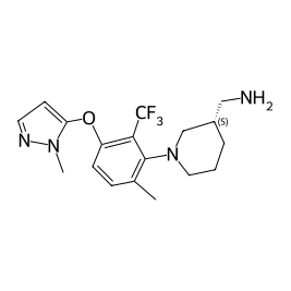 Cc1ccc(Oc2ccnn2C)c(C(F)(F)F)c1N1CCC[C@@H](CN)C1